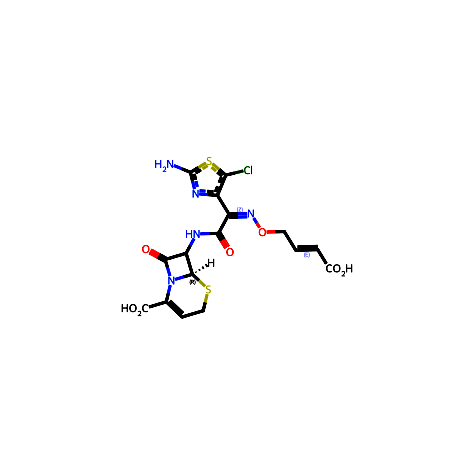 Nc1nc(/C(=N/OC/C=C/C(=O)O)C(=O)NC2C(=O)N3C(C(=O)O)=CCS[C@H]23)c(Cl)s1